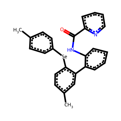 Cc1ccc([Se]c2ccc(C)cc2-c2ccccc2NC(=O)c2ccccn2)cc1